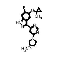 CC1(Oc2cc3c(-c4cc(N5CC[C@@H](N)C5)ncn4)n[nH]c3cc2F)CC1